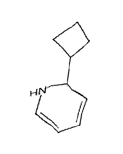 C1=CN[C](C2CCC2)C=C1